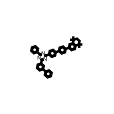 CC1(C)CCC(C)(C)c2cc(-c3ccc(-c4ccc(-c5nc(-c6ccccc6)nc(-c6cccc(-c7ccccc7)c6)n5)cc4)cc3)ccc21